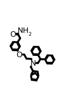 NC(=O)Cc1cccc(OCCCN(CC(c2ccccc2)c2ccccc2)CC2CC3C=CC2C3)c1